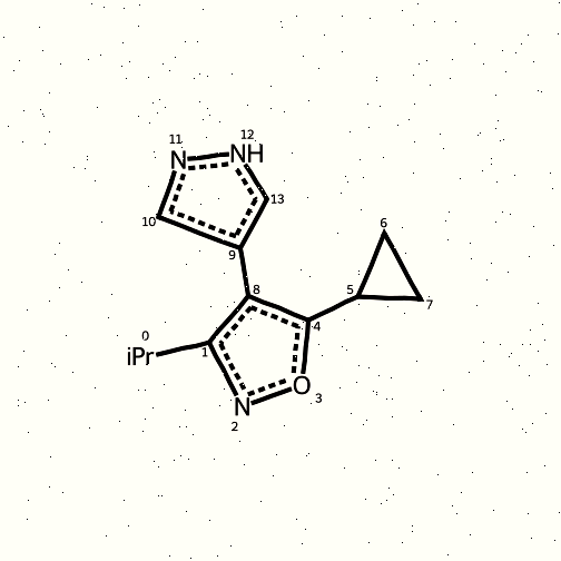 CC(C)c1noc(C2CC2)c1-c1cn[nH]c1